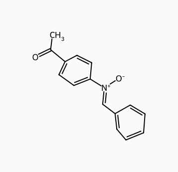 CC(=O)c1ccc([N+]([O-])=Cc2ccccc2)cc1